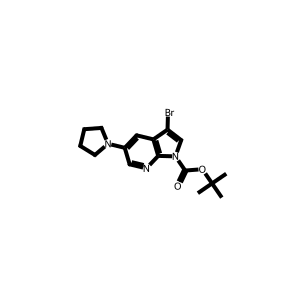 CC(C)(C)OC(=O)n1cc(Br)c2cc(N3CCCC3)cnc21